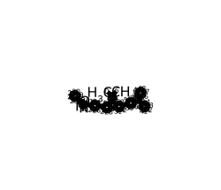 CCCC1(CCC)c2cc(-c3ccc(-c4nnc(-c5ccccc5)o4)cc3)ccc2-c2ccc(-c3ccc(N(c4ccccc4)c4ccccc4)cc3)cc21